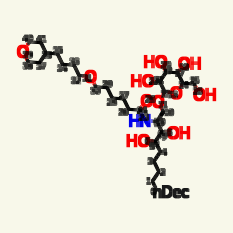 CCCCCCCCCCCCCC[C@@H](O)[C@@H](O)[C@H](COC1OC(CO)C(O)C(O)C1O)NC(=O)CCCCCOCCCCC1CCOCC1